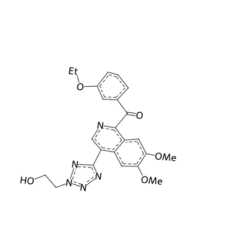 CCOc1cccc(C(=O)c2ncc(-c3nnn(CCO)n3)c3cc(OC)c(OC)cc23)c1